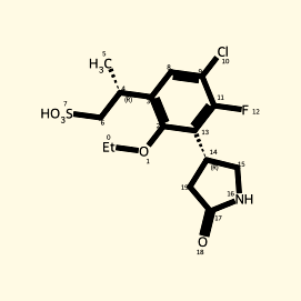 CCOc1c([C@@H](C)CS(=O)(=O)O)cc(Cl)c(F)c1[C@@H]1CNC(=O)C1